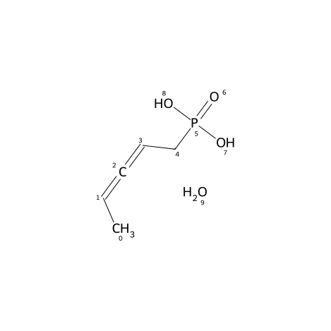 CC=C=CCP(=O)(O)O.O